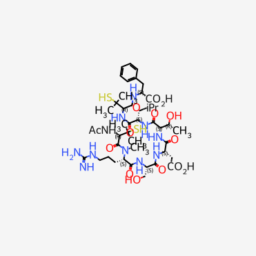 CC(=O)N[C@H](C(=O)N(C)[C@@H](CCCNC(=N)N)C(=O)N[C@@H](CO)C(=O)N[C@@H](CC(=O)O)C(=O)N[C@H](C(=O)N[C@@H](CC(C)C)C(=O)N[C@H](C(=O)N[C@@H](Cc1ccccc1)C(=O)O)C(C)(C)S)[C@@H](C)O)C(C)(C)S